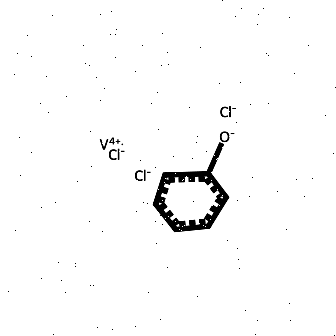 [Cl-].[Cl-].[Cl-].[O-]c1ccccc1.[V+4]